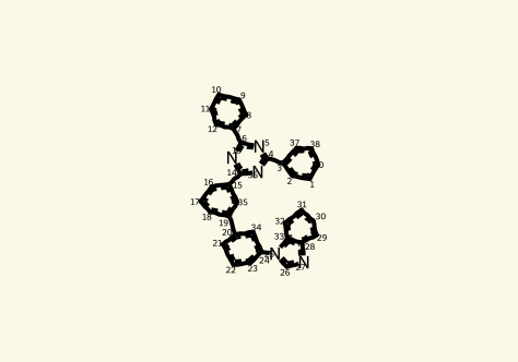 c1ccc(-c2nc(-c3ccccc3)nc(-c3cccc(-c4cccc(-n5cnc6ccccc65)c4)c3)n2)cc1